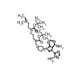 C/C=C(\C)CCN(CCCN(C[C@@H]1CC[C@H](n2cc(-c3ncnn3PI)c3c(N)ncnc32)C1)C(=O)OC(C)(C)C)C(=O)OC(C)(C)C